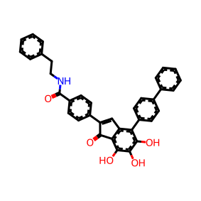 O=C(NCCc1ccccc1)c1ccc(C2=Cc3c(c(O)c(O)c(O)c3-c3ccc(-c4ccccc4)cc3)C2=O)cc1